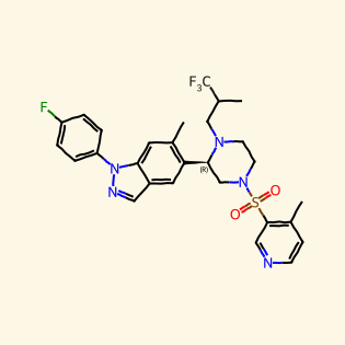 Cc1cc2c(cnn2-c2ccc(F)cc2)cc1[C@@H]1CN(S(=O)(=O)c2cnccc2C)CCN1CC(C)C(F)(F)F